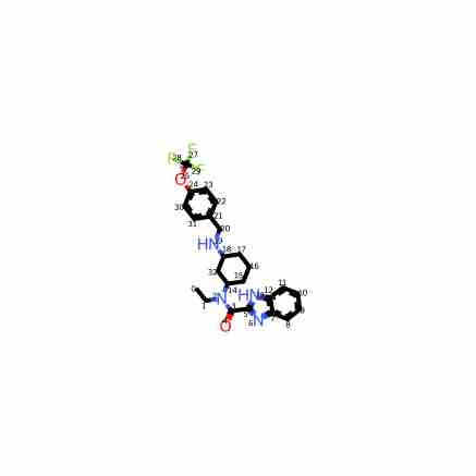 CCN(C(=O)c1nc2ccccc2[nH]1)C1CCCC(NCc2ccc(OC(F)(F)F)cc2)C1